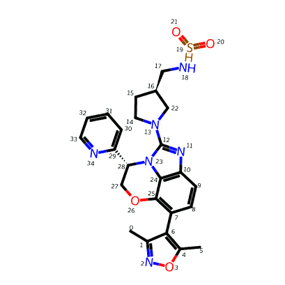 Cc1noc(C)c1-c1ccc2nc(N3CC[C@@H](CN[SH](=O)=O)C3)n3c2c1OC[C@@H]3c1ccccn1